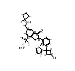 Cl.Cn1cnnc1C1(c2cccc(N3Cc4c(cc(CNC5(C)CCC5)cc4C(F)(F)F)C3=O)c2)CC(Cl)C1